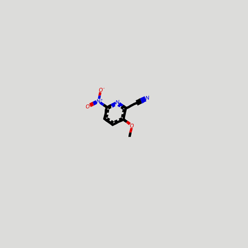 COc1ccc([N+](=O)[O-])nc1C#N